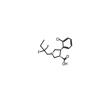 CCC(F)(F)CN1C[C@H](C(=O)O)[C@H](c2ccccc2Cl)C1